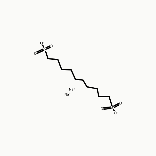 O=S(=O)([O-])CCCCCCCCCCS(=O)(=O)[O-].[Na+].[Na+]